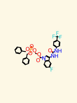 O=C(Nc1ccc(C(F)(F)F)cc1)Nc1cn(C(=O)OCOP(=O)(OCc2ccccc2)OCc2ccccc2)c2ccc(F)cc12